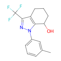 Cc1cccc(-n2nc(C(F)(F)F)c3c2C(O)CCC3)c1